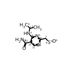 CC(C)Nc1nc(C[S+]=O)ncc1C(N)=O